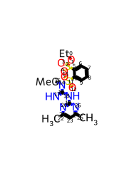 CCOS(=O)(=O)c1ccccc1S(=O)(=O)N(OC)C(=N)Nc1nc(C)cc(C)n1